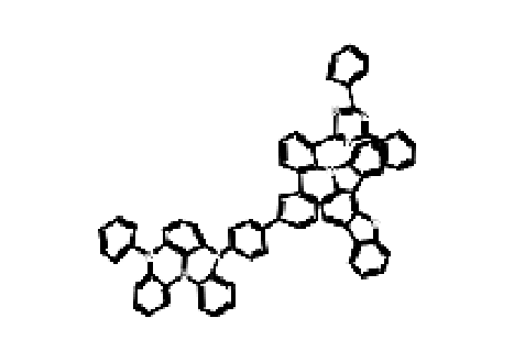 c1ccc(-c2nc(-c3ccccc3)nc(-c3cccc(-c4cccc(-c5ccc(N6c7ccccc7B7c8ccccc8N(c8ccccc8)c8cccc6c87)cc5)c4)c3-n3c4ccccc4c4c5oc6ccccc6c5ccc43)n2)cc1